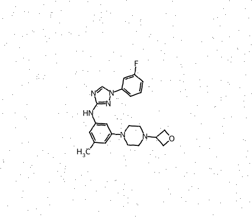 Cc1cc(Nc2ncn(-c3cccc(F)c3)n2)cc(N2CCN(C3COC3)CC2)c1